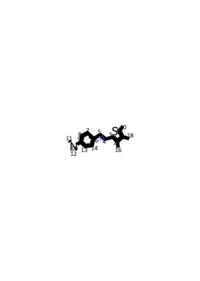 Cc1sc(/C=C/c2ccc(N(C)C)cc2)c(C)c1C